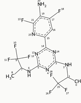 CC(Nc1nc(NC(C)C(F)(F)F)nc(-c2cc(F)c(N)c(F)n2)n1)C(F)(F)F